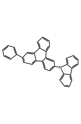 c1ccc(-c2ccc3c4ccc(-n5c6ccccc6c6ccccc65)cc4c4ccccc4c3c2)cc1